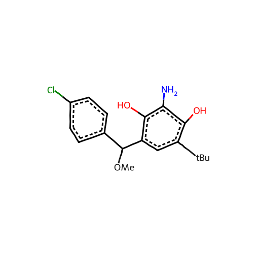 COC(c1ccc(Cl)cc1)c1cc(C(C)(C)C)c(O)c(N)c1O